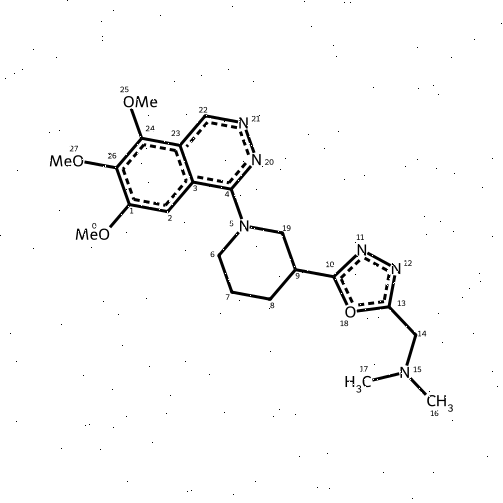 COc1cc2c(N3CCCC(c4nnc(CN(C)C)o4)C3)nncc2c(OC)c1OC